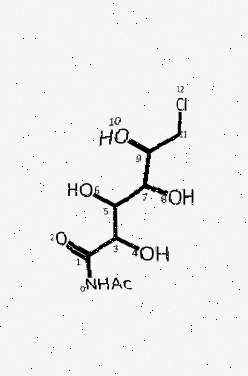 CC(=O)NC(=O)C(O)C(O)C(O)C(O)CCl